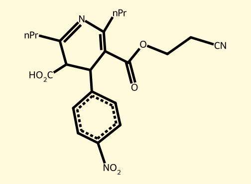 CCCC1=NC(CCC)=C(C(=O)OCCC#N)C(c2ccc([N+](=O)[O-])cc2)C1C(=O)O